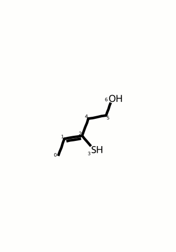 CC=C(S)CCO